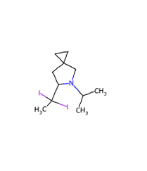 CC(C)N1CC2(CC2)CC1C(C)(I)I